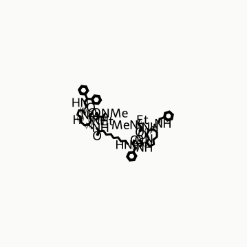 CC[C@H](NC)C(=O)N[C@@H]1C(=O)N2C(CC[C@@H]1CNCc1ccccc1)CC[C@H]2C(=O)N[C@H](C(=O)NCCCCCCCC(=O)NC[C@H]1CC[C@H]2CC[C@@H](C(=O)NC(c3ccccc3)c3ccccc3)N2C(=O)[C@H]1NC(=O)[C@H](CC)NC)c1ccccc1